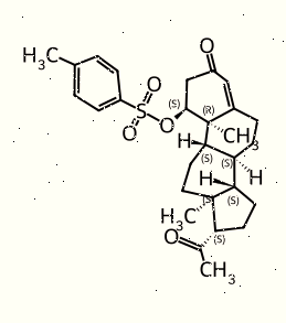 CC(=O)[C@H]1CC[C@H]2[C@@H]3CCC4=CC(=O)C[C@H](OS(=O)(=O)c5ccc(C)cc5)[C@]4(C)[C@H]3CC[C@]12C